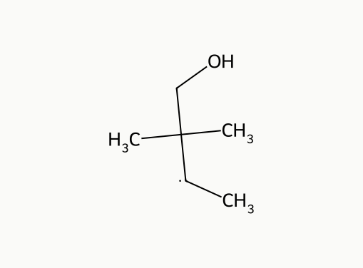 C[CH]C(C)(C)CO